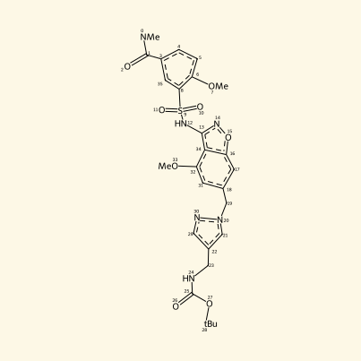 CNC(=O)c1ccc(OC)c(S(=O)(=O)Nc2noc3cc(Cn4cc(CNC(=O)OC(C)(C)C)cn4)cc(OC)c23)c1